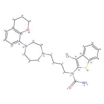 NC(=O)N(CCCCN1CCCN(c2cccc3c2OCCC3)CC1)c1sc2ccccc2c1Cl